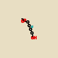 C=CC(=O)OCc1cccc(-c2ccc(-c3ccc(-c4ccc(CCO)cc4)cc3F)cc2)c1